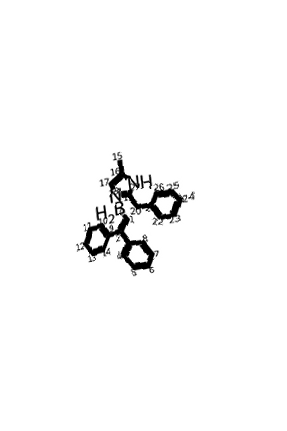 BC=C(c1ccccc1)c1ccccc1.Cc1cnc(Cc2ccccc2)[nH]1